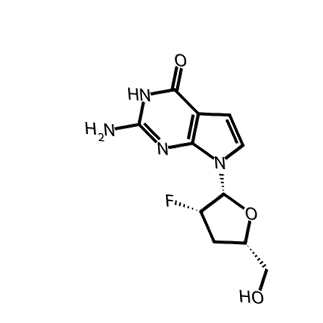 Nc1nc2c(ccn2[C@@H]2O[C@H](CO)C[C@@H]2F)c(=O)[nH]1